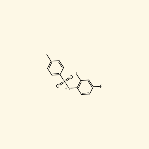 Cc1ccc(S(=O)(=O)Nc2ccc(F)cc2I)cc1